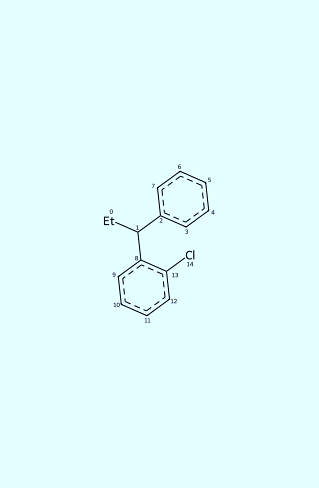 CCC(c1ccccc1)c1ccccc1Cl